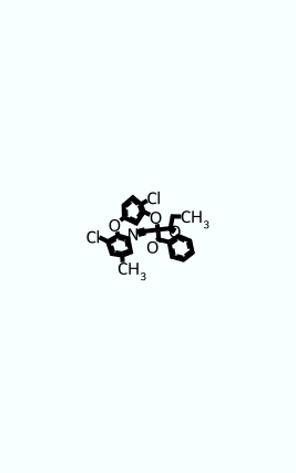 CCC(=O)C(C#N)(Oc1cc(Oc2ccc(C)cc2Cl)ccc1Cl)C(=O)c1ccccc1